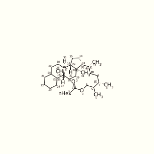 CCCCCCC(=O)OCC(C)[C@@H](C)CC[C@@H](C)[C@H]1CC[C@H]2[C@@H]3CCC4CCCC[C@]4(C)[C@H]3CC[C@]12C